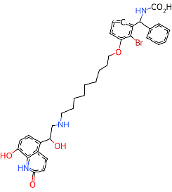 O=C(O)NC(c1ccccc1)c1cccc(OCCCCCCCCCNCC(O)c2ccc(O)c3[nH]c(=O)ccc23)c1Br